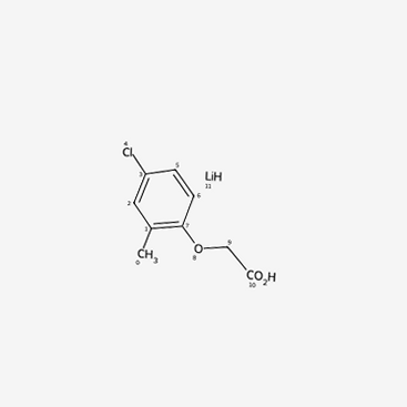 Cc1cc(Cl)ccc1OCC(=O)O.[LiH]